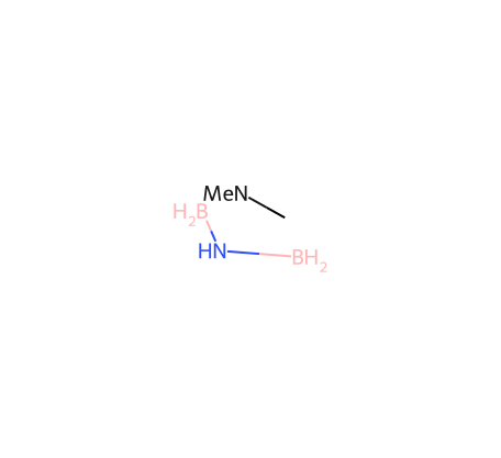 BNB.CNC